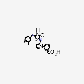 Cc1ccc(/C=c2/[nH]c(=O)/c(=C/c3cccn3-c3cccc(C(=O)O)c3)s2)cc1C